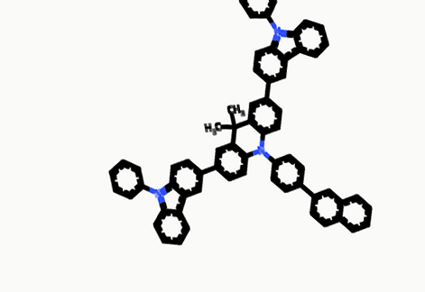 CC1(C)c2cc(-c3ccc4c(c3)c3ccccc3n4-c3ccccc3)ccc2N(c2ccc(-c3ccc4ccccc4c3)cc2)c2ccc(-c3ccc4c(c3)c3ccccc3n4-c3ccccc3)cc21